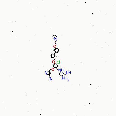 Cc1c(COc2cc(OCc3cncc(C#N)c3)c(CNC3CCC(N)=C(C=N)C3)cc2Cl)cccc1-c1cccc(OCCCN2CCCC2)c1C